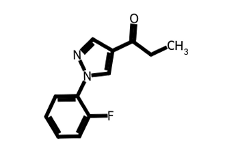 CCC(=O)c1cnn(-c2ccccc2F)c1